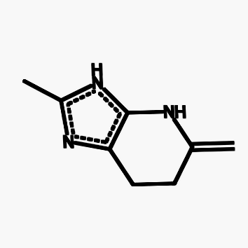 C=C1CCc2nc(C)[nH]c2N1